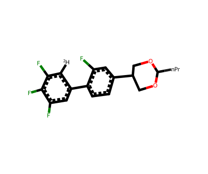 [2H]c1c(-c2ccc(C3COC(CCC)OC3)cc2F)cc(F)c(F)c1F